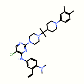 C=Cc1cc(Nc2nc(N3CCN(C(C)(C)C4CCN(c5ccc(C)c(C)c5)CC4)CC3)ncc2Cl)ccc1N(C)C